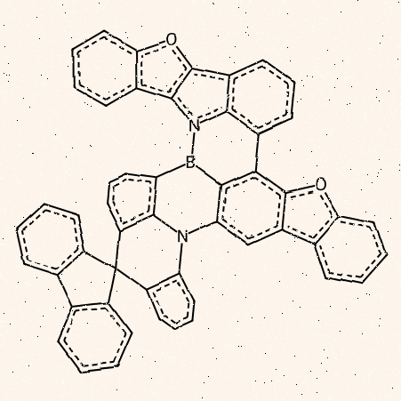 c1ccc2c(c1)-c1ccccc1C21c2ccccc2N2c3cc4c(oc5ccccc54)c4c3B(c3cccc1c32)n1c2c-4cccc2c2oc3ccccc3c21